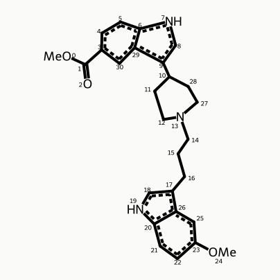 COC(=O)c1ccc2[nH]cc(C3CCN(CCCc4c[nH]c5ccc(OC)cc45)CC3)c2c1